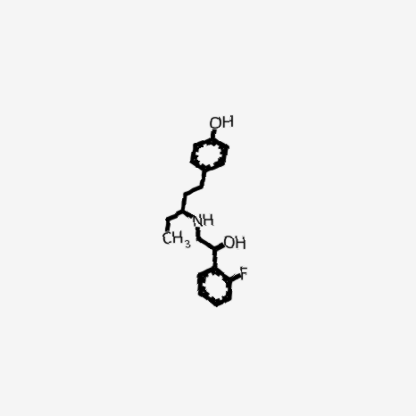 CCC(CCc1ccc(O)cc1)NCC(O)c1ccccc1F